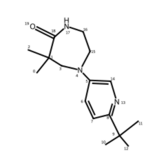 CC1(C)CN(c2ccc(C(C)(C)C)nc2)CCNC1=O